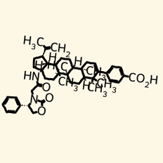 C=C(C)[C@@H]1CC[C@]2(NC(=O)CN3C(=O)OC[C@@H]3c3ccccc3)CC[C@]3(C)[C@H](CC[C@@H]4[C@@]5(C)CC=C(c6ccc(C(=O)O)cc6)C(C)(C)[C@@H]5CC[C@]43C)[C@@H]12